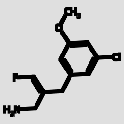 COc1cc(Cl)cc(CC(=CF)CN)c1